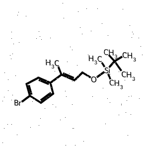 C/C(=C\CO[Si](C)(C)C(C)(C)C)c1ccc(Br)cc1